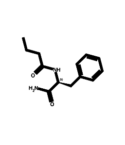 CCCC(=O)N[C@@H](Cc1ccccc1)C(N)=O